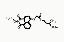 COC(C)CCOC(=O)CSc1ccc2c3c(cccc13)C(=O)N(OSC(F)(F)F)C2=O